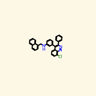 Clc1cccc2c(-c3cccc(NCc4cccc5ccccc45)c3)c(-c3ccccc3)nnc12